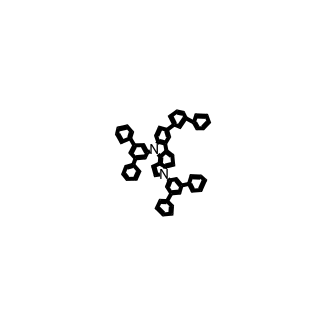 c1ccc(-c2cccc(-c3ccc4c(c3)c3ccc5c(ccn5-c5cc(-c6ccccc6)cc(-c6ccccc6)c5)c3n4-c3cc(-c4ccccc4)cc(-c4ccccc4)c3)c2)cc1